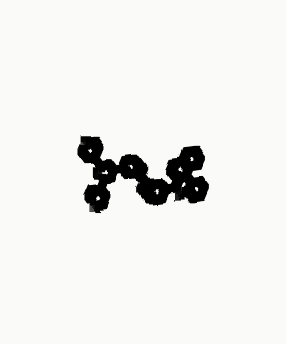 c1cc(-c2cccc(-c3nc4ccccc4c4c3ccc3ccccc34)c2)cc(-c2cc(-c3ccncc3)nc(-c3ccncc3)c2)c1